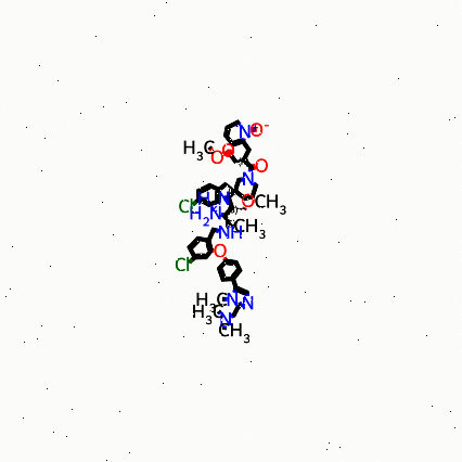 COC[C@H](C(N)[C@H](C)NCc1ccc(Cl)cc1Oc1ccc(-c2cnc(CN(C)C)n2C)cc1)C(N)[C@@]1(Cc2ccc(Cl)cc2)CCCN(C(=O)[C@@H](CC(=O)OC)Cc2cccc[n+]2[O-])C1